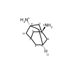 N[C@]12CC3C[C@H](C1)C[C@@](N)(C3)C2